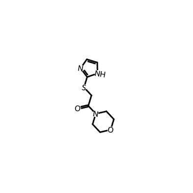 O=C(CSc1ncc[nH]1)N1CCOCC1